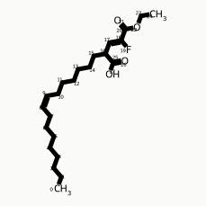 CCCCCCCC/C=C\CCCCCCC(/C=C(\F)C(=O)OCC)C(=O)O